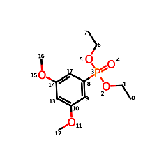 CCOP(=O)(OCC)c1cc(OC)cc(OC)c1